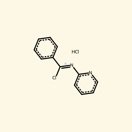 Cl.Cl/C(=N\c1ccccn1)c1ccccc1